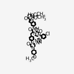 COC1CCC(N2CCN(c3ccc(CC(C(=O)Nc4ccc5c(c4)cc(C(=O)O)n5C(=O)OC(C)(C)C)N4CCN(c5cc(Cl)ccc5-n5cnnn5)C(=O)C4=O)cc3)C(=O)C2)CC1